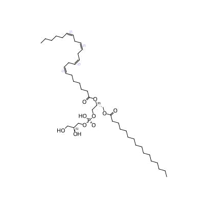 CCCCC/C=C\C/C=C\C/C=C\C/C=C\CCCCCC(=O)O[C@H](COC(=O)CCCCCCCCCCCCCCC)COP(=O)(O)OC[C@@H](O)CO